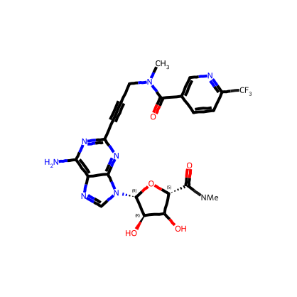 CNC(=O)[C@H]1O[C@@H](n2cnc3c(N)nc(C#CCN(C)C(=O)c4ccc(C(F)(F)F)nc4)nc32)[C@H](O)C1O